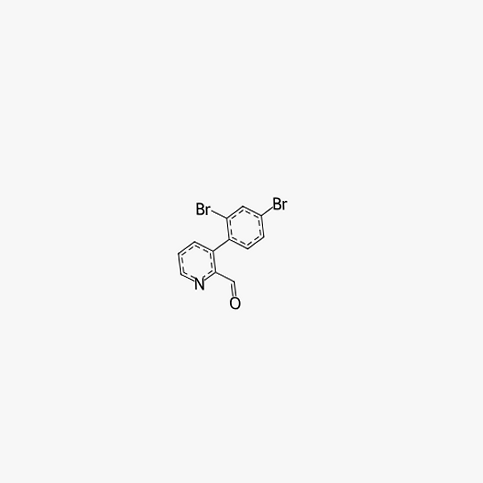 O=Cc1ncccc1-c1ccc(Br)cc1Br